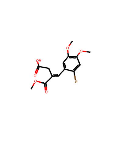 COC(=O)/C(=C/c1cc(OC)c(OC)cc1Br)CC(=O)O